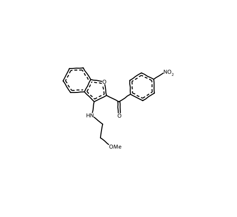 COCCNc1c(C(=O)c2ccc([N+](=O)[O-])cc2)oc2ccccc12